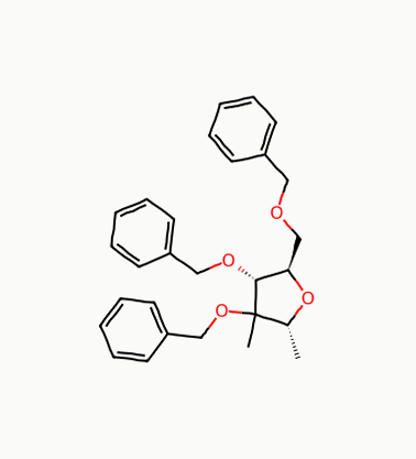 C[C@H]1O[C@H](COCc2ccccc2)[C@@H](OCc2ccccc2)C1(C)OCc1ccccc1